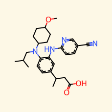 COC1CCC(N(CC(C)C)c2ccc(C(C)CC(=O)O)cc2Nc2ccc(C#N)cn2)CC1